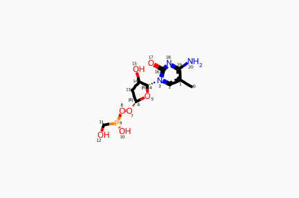 Cc1cn([C@@H]2O[C@H](OOP(O)CO)CC2O)c(=O)nc1N